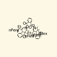 CCCCCCC(C)C1(C)C(c2c(F)cccc2Cl)C(C(CC)CCCCC)=CN(OC(=O)c2ccccc2C(=O)ON2C=C(C(CC)CCCCC)C(c3c(F)cccc3Cl)C(C)(C(C)CCCCCC)C2C)C1C